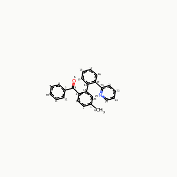 Cc1ccc(C(=O)c2ccccc2)c(-c2ccccc2-c2ccccn2)c1